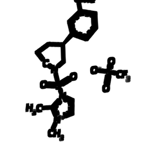 COc1cccc([C@@H]2CCCN(S(=O)(=O)n3cc[n+](C)c3C)C2)c1.O=S(=O)([O-])C(F)(F)F